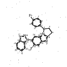 Fc1ccc(C2CCc3nc4cc(F)c(-n5nnc6ccccc65)cc4n32)cc1